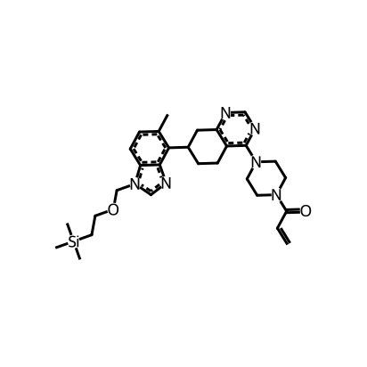 C=CC(=O)N1CCN(c2ncnc3c2CCC(c2c(C)ccc4c2ncn4COCC[Si](C)(C)C)C3)CC1